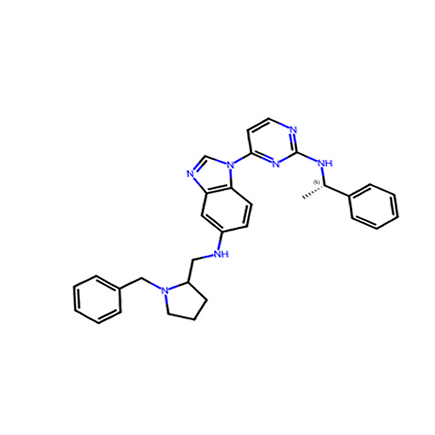 C[C@H](Nc1nccc(-n2cnc3cc(NCC4CCCN4Cc4ccccc4)ccc32)n1)c1ccccc1